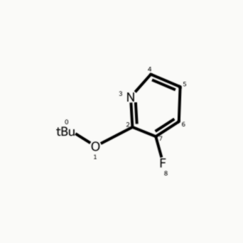 CC(C)(C)Oc1ncccc1F